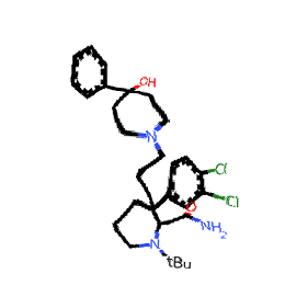 CC(C)(C)N1CCCC(CCN2CCC(O)(c3ccccc3)CC2)(c2ccc(Cl)c(Cl)c2)C1C(N)=O